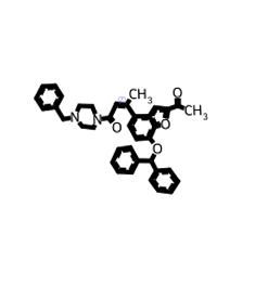 CC(=O)c1cc2c(/C(C)=C\C(=O)N3CCN(Cc4ccccc4)CC3)ccc(OC(c3ccccc3)c3ccccc3)c2o1